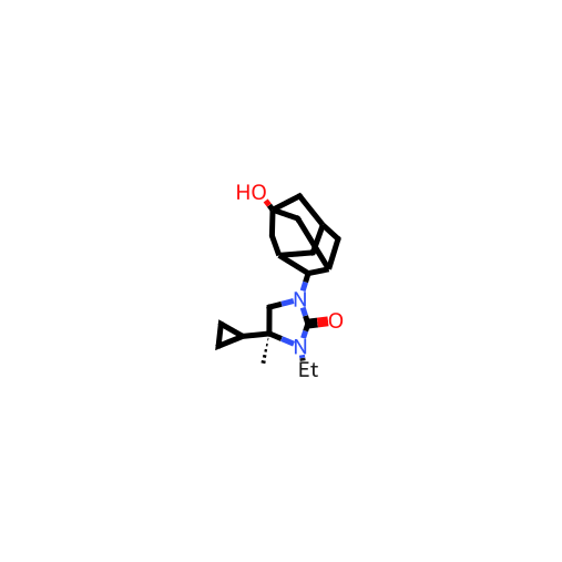 CCN1C(=O)N(C2C3CC4CC2CC(O)(C4)C3)C[C@]1(C)C1CC1